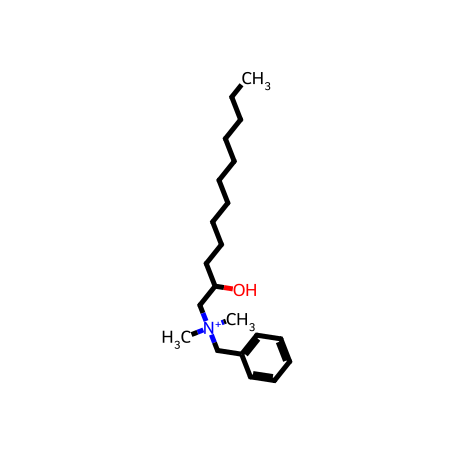 CCCCCCCCCCC(O)C[N+](C)(C)Cc1ccccc1